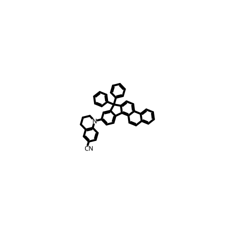 N#Cc1ccc2c(c1)CCCN2c1ccc2c(c1)C(c1ccccc1)(c1ccccc1)c1ccc3c(ccc4ccccc43)c1-2